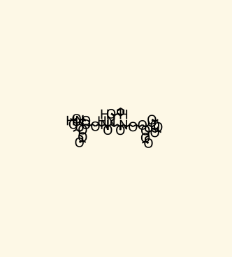 CC(=O)NC1C(OCCOCCNC(=O)C(CCC(=O)NCCOCCOC2OC(COC(C)=O)C(OC(C)=O)C(OC(C)=O)C2C)NCC(=O)c2ccccc2)OC(COC(C)=O)C(C)C1OC(C)=O